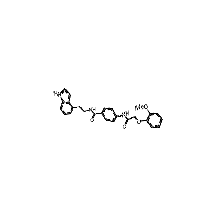 COc1ccccc1OCC(=O)Nc1ccc(C(=O)NCCc2cccc3[nH]ccc23)cc1